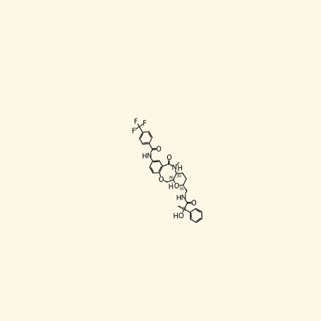 CN1C(=O)c2cc(NC(=O)c3ccc(C(F)(F)F)cc3)ccc2OC[C@@H]2O[C@H](CNC(=O)[C@@](C)(O)c3ccccc3)CC[C@@H]21